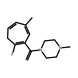 C=C(C1=C(F)CC=CC(C)=C1)N1CCN(C)CC1